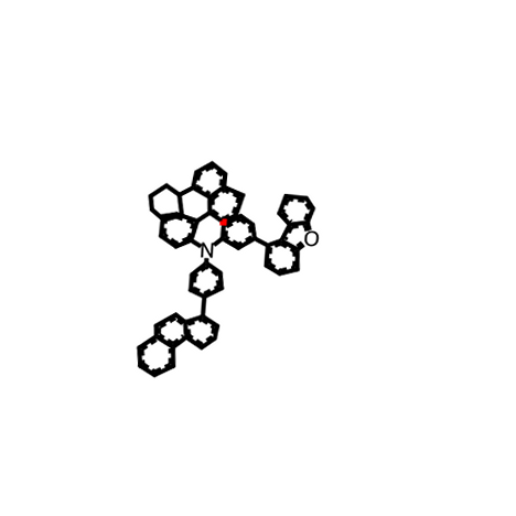 c1cc(-c2cccc3oc4ccccc4c23)cc(N(c2ccc(-c3cccc4c3ccc3ccccc34)cc2)c2ccccc2-c2cccc3cccc(C4CCCCC4)c23)c1